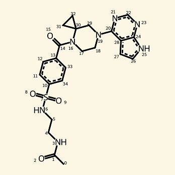 CC(=O)NCCNS(=O)(=O)c1ccc(C(=O)N2CCN(c3ncnc4[nH]ccc34)CC23CC3)cc1